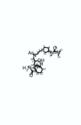 CC(=O)N(CCN1CC[C@@H](N(C)C(=O)N(C)C)C1)CC(O)CN1[C@@H]2C[CH]C[C@@]1(C(N)=O)CC2